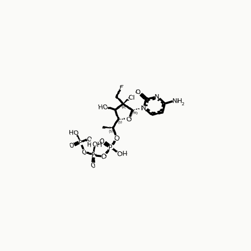 C[C@H](OP(=O)(O)OP(=O)(O)OP(=O)(O)O)[C@H]1O[C@@H](n2ccc(N)nc2=O)[C@@](Cl)(CF)C1O